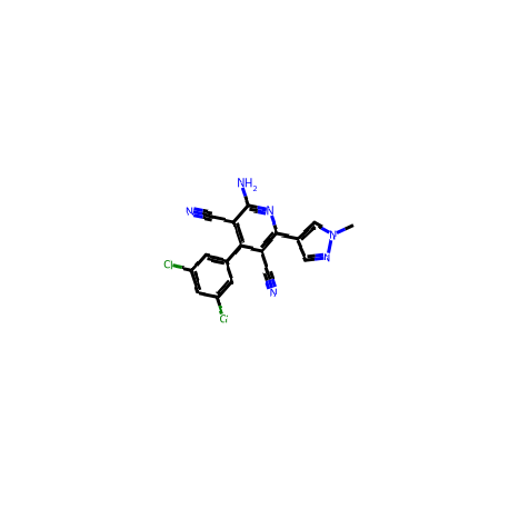 Cn1cc(-c2nc(N)c(C#N)c(-c3cc(Cl)cc(Cl)c3)c2C#N)cn1